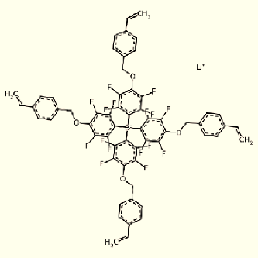 C=Cc1ccc(COc2c(F)c(F)c([B-](c3c(F)c(F)c(OCc4ccc(C=C)cc4)c(F)c3F)(c3c(F)c(F)c(OCc4ccc(C=C)cc4)c(F)c3F)c3c(F)c(F)c(OCc4ccc(C=C)cc4)c(F)c3F)c(F)c2F)cc1.[Li+]